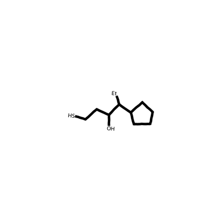 CCC(C(O)CCS)C1CCCC1